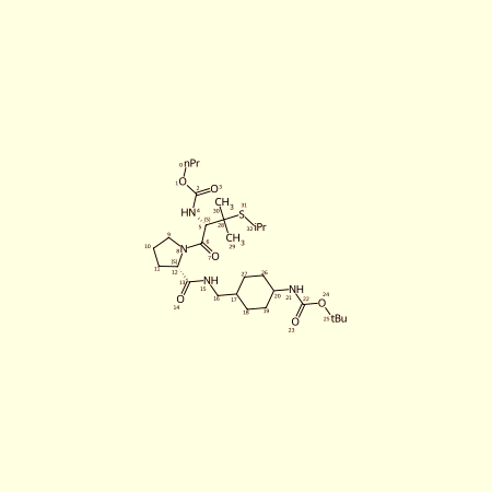 CCCOC(=O)N[C@@H](C(=O)N1CCC[C@H]1C(=O)NCC1CCC(NC(=O)OC(C)(C)C)CC1)C(C)(C)SC(C)C